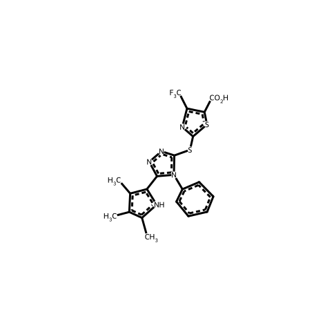 Cc1[nH]c(-c2nnc(Sc3nc(C(F)(F)F)c(C(=O)O)s3)n2-c2ccccc2)c(C)c1C